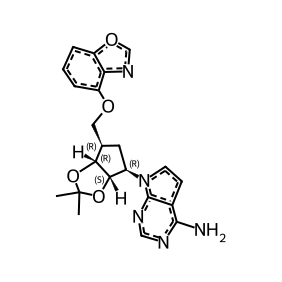 CC1(C)O[C@@H]2[C@@H](COc3cccc4ocnc34)C[C@@H](n3ccc4c(N)ncnc43)[C@@H]2O1